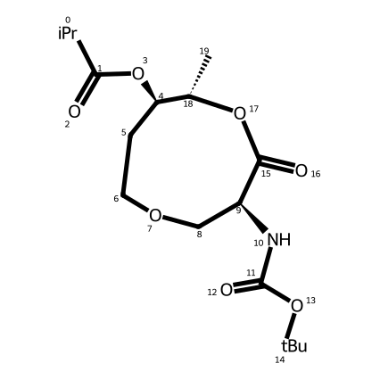 CC(C)C(=O)O[C@@H]1CCOC[C@H](NC(=O)OC(C)(C)C)C(=O)O[C@H]1C